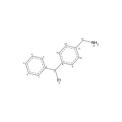 CC[C](c1ccccc1)c1ccc(CN)cc1